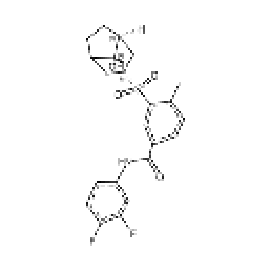 Cc1ccc(C(=O)Nc2ccc(F)c(F)c2)cc1S(=O)(=O)[C@@H]1CC2CC[C@@H](C1)[C@]2(C)O